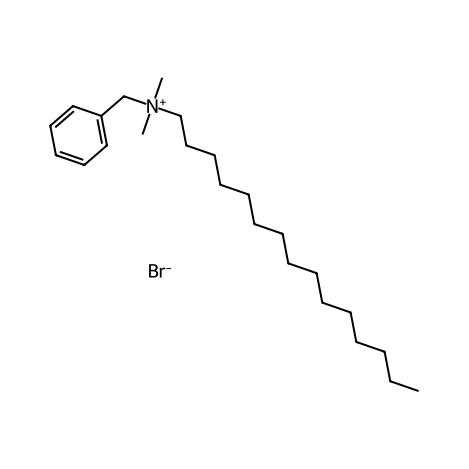 CCCCCCCCCCCCCCC[N+](C)(C)Cc1ccccc1.[Br-]